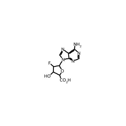 Nc1ncnc2c1ncn2C1OC(C(=O)O)C(O)C1F